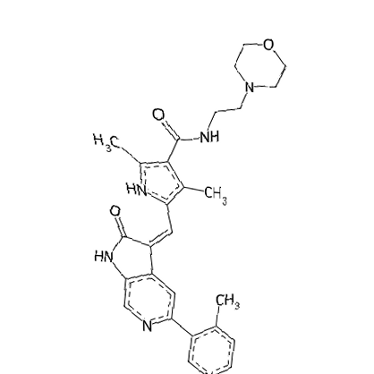 Cc1ccncc1-c1cc2c(cn1)NC(=O)C2=Cc1[nH]c(C)c(C(=O)NCCN2CCOCC2)c1C